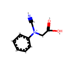 N#CN(CC(=O)O)c1ccccc1